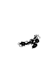 C[C@@H](Cc1ccc(Cl)c(Cl)c1)C(=O)NC1N=C(c2ccccc2)c2ccccc2N(CC(N)=O)C1=O